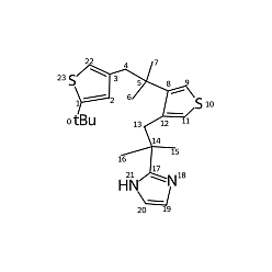 CC(C)(C)c1cc(CC(C)(C)c2cscc2CC(C)(C)c2ncc[nH]2)cs1